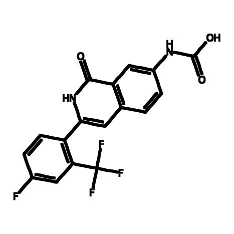 O=C(O)Nc1ccc2cc(-c3ccc(F)cc3C(F)(F)F)[nH]c(=O)c2c1